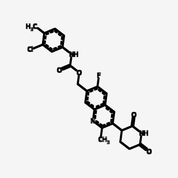 Cc1ccc(NC(=O)OCc2cc3nc(C)c(C4CCC(=O)NC4=O)cc3cc2F)cc1Cl